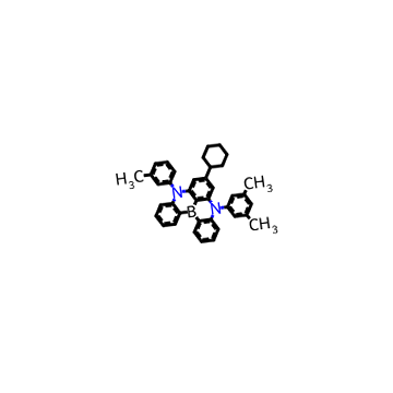 Cc1cccc(N2c3ccccc3B3c4ccccc4N(c4cc(C)cc(C)c4)c4cc(C5CCCCC5)cc2c43)c1